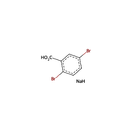 O=C(O)c1cc(Br)ccc1Br.[NaH]